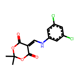 CC1(C)OC(=O)C(=CNc2cc(Cl)cc(Cl)c2)C(=O)O1